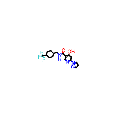 O=C(NCC1CCC(C(F)(F)F)CC1)c1cnc(-n2cccn2)cc1O